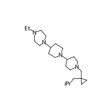 CCN1CCN(C2CCN(C3CCN(CC4(CC(C)C)CC4)CC3)CC2)CC1